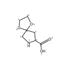 O=C(O)C1CC2(CN1)OCCO2